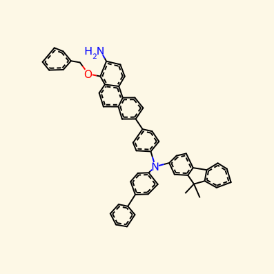 CC1(C)c2ccccc2-c2ccc(N(c3ccc(-c4ccccc4)cc3)c3ccc(-c4ccc5c(ccc6c(OCc7ccccc7)c(N)ccc65)c4)cc3)cc21